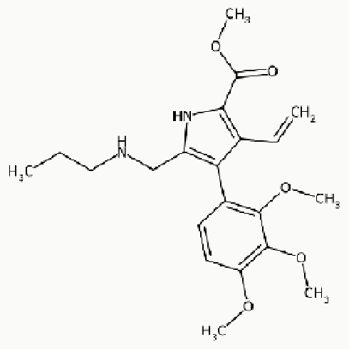 C=Cc1c(C(=O)OC)[nH]c(CNCCC)c1-c1ccc(OC)c(OC)c1OC